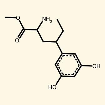 CCC(CC(N)C(=O)OC)c1cc(O)cc(O)c1